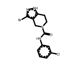 O=C(Nc1cccc(Cl)c1)N1CCc2[nH]nc(Br)c2C1